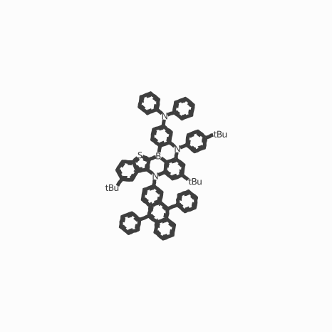 CC(C)(C)c1ccc(N2c3cc(N(c4ccccc4)c4ccccc4)ccc3B3c4sc5ccc(C(C)(C)C)cc5c4N(c4ccc5c(-c6ccccc6)c6ccccc6c(-c6ccccc6)c5c4)c4cc(C(C)(C)C)cc2c43)cc1